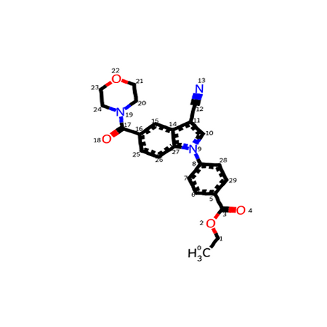 CCOC(=O)c1ccc(-n2cc(C#N)c3cc(C(=O)N4CCOCC4)ccc32)cc1